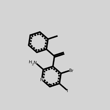 C=C(c1ccccc1C)c1c(N)ncc(I)c1Br